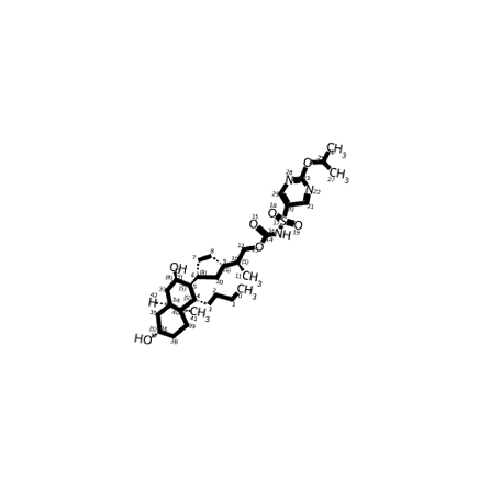 CCCC[C@H]1[C@H]([C@@H]2CC[C@H]([C@H](C)COC(=O)NS(=O)(=O)c3cnc(OC(C)C)nc3)C2)[C@H](O)C[C@@H]2C[C@@H](O)CC[C@@]21C